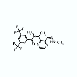 CN/N=C\c1nccnc1C(C)N(C)C(=O)c1cc(C(F)(F)F)cc(C(F)(F)F)c1